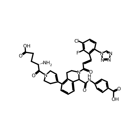 N[C@@H](CCC(=O)O)C(=O)N1CC=C(c2cccc3c2CCN(C(=O)/C=C/c2c(-n4cnnn4)ccc(Cl)c2F)C3C(=O)Nc2ccc(C(=O)O)cc2)CC1